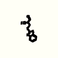 O=CC(O)CSc1nc2ccccc2s1